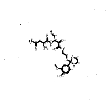 COc1cc(C2(OCCOC(=O)C(=O)[C@H](CO)NC(=O)[C@@H](N)CC(N)=O)OCCO2)ccc1O